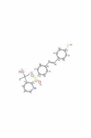 CC(C)(O)c1cccnc1S(=O)(=O)c1ccc(C=Cc2ccc(F)cc2)cc1